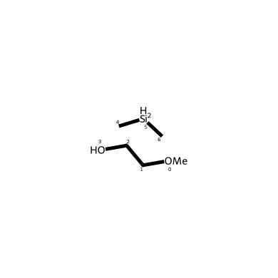 COCCO.C[SiH2]C